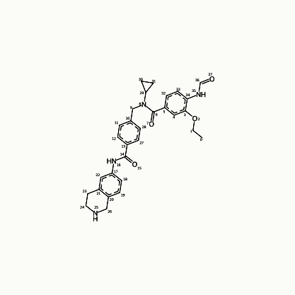 CCOc1cc(C(=O)N(Cc2ccc(C(=O)Nc3ccc4c(c3)CCNC4)cc2)C2CC2)ccc1NC=O